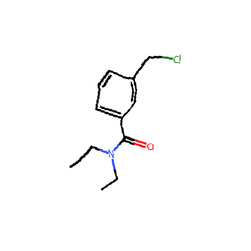 CCN(CC)C(=O)c1cccc(CCl)c1